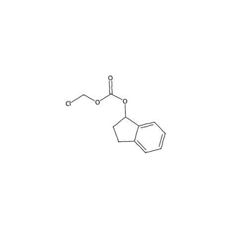 O=C(OCCl)OC1CCc2ccccc21